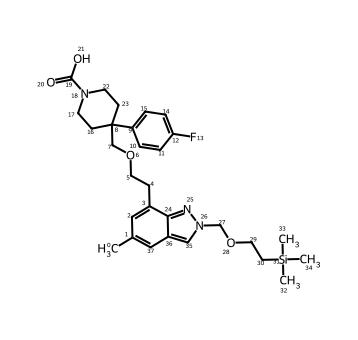 Cc1cc(CCOCC2(c3ccc(F)cc3)CCN(C(=O)O)CC2)c2nn(COCC[Si](C)(C)C)cc2c1